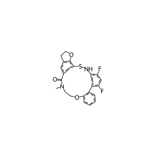 CN1CCOc2ccccc2-c2cc(c(F)cc2F)NSc2cc(cc3c2OCC3)C1=O